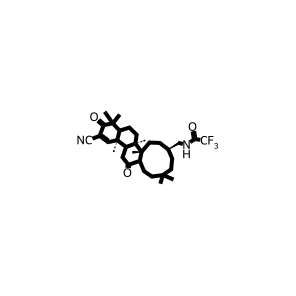 CC1(C)CCC2C(=O)CC3[C@@]4(C)C=C(C#N)C(=O)C(C)(C)C4CC[C@@]3(C)[C@]2(C)CC[C@@H](CNC(=O)C(F)(F)F)CC1